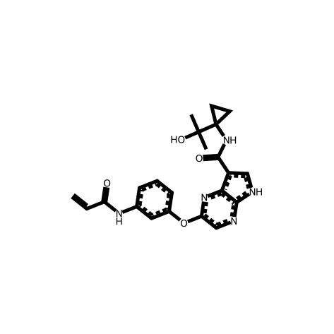 C=CC(=O)Nc1cccc(Oc2cnc3[nH]cc(C(=O)NC4(C(C)(C)O)CC4)c3n2)c1